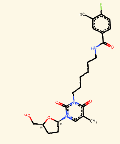 Cc1cn([C@H]2CC[C@@H](CO)O2)c(=O)n(CCCCCCNC(=O)c2ccc(F)c(C#N)c2)c1=O